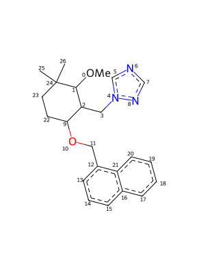 COC1C(Cn2cncn2)C(OCc2cccc3ccccc23)CCC1(C)C